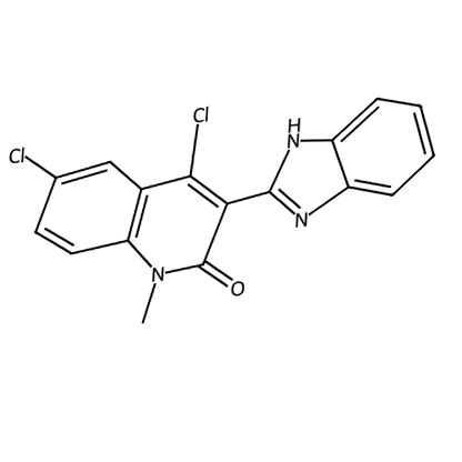 Cn1c(=O)c(-c2nc3ccccc3[nH]2)c(Cl)c2cc(Cl)ccc21